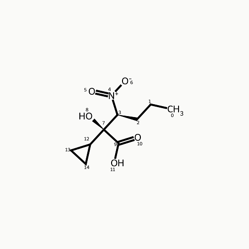 CCC[C@H]([N+](=O)[O-])[C@](O)(C(=O)O)C1CC1